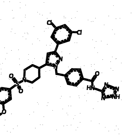 COc1cccc(S(=O)(=O)N2CCC(c3cc(-c4cc(Cl)cc(Cl)c4)nn3Cc3ccc(C(=O)Nc4nn[nH]n4)cc3)CC2)c1